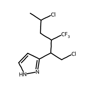 CC(Cl)CC(C(CCl)c1cc[nH]n1)C(F)(F)F